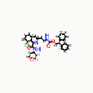 O=C(NCCc1cc2cccc(Cl)c2c(C(=O)NC2CCOCC2)n1)OCC1c2ccccc2-c2ccccc21